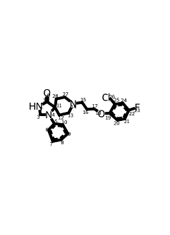 O=C1NCN(c2ccccc2)C12CCN(CCCOc1ccc(F)cc1Cl)CC2